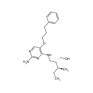 CC[C@H](C)[C@@H](CO)CNc1nc(N)ncc1OCCCc1ccccc1